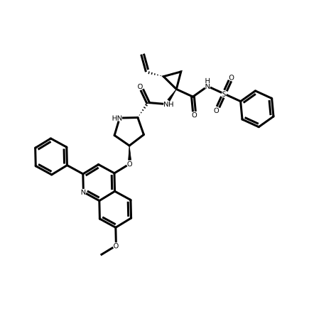 C=C[C@@H]1C[C@]1(NC(=O)[C@@H]1C[C@@H](Oc2cc(-c3ccccc3)nc3cc(OC)ccc23)CN1)C(=O)NS(=O)(=O)c1ccccc1